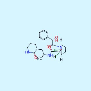 N#C[C@@H](C[C@@H]1CCCNC1=O)NC(=O)[C@@H]1[C@@H]2CC[C@@H](CC2(F)F)N1C(=O)[C@@H](O)c1ccccc1